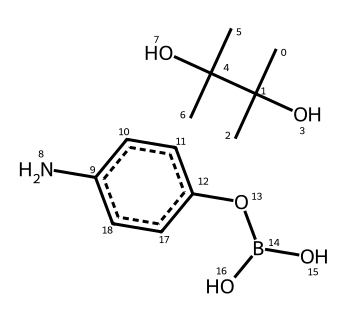 CC(C)(O)C(C)(C)O.Nc1ccc(OB(O)O)cc1